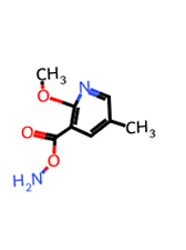 COc1ncc(C)cc1C(=O)ON